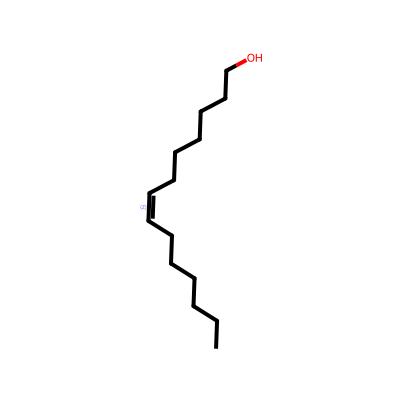 CCCCCC/C=C\CCCCCCO